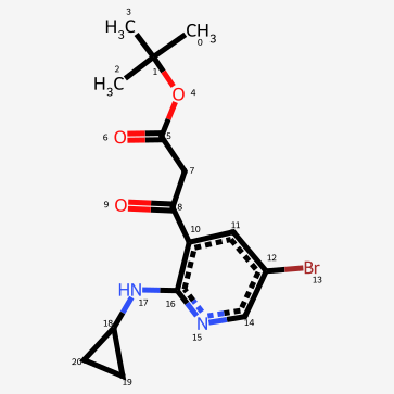 CC(C)(C)OC(=O)CC(=O)c1cc(Br)cnc1NC1CC1